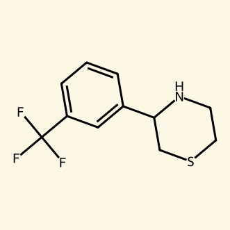 FC(F)(F)c1cccc(C2CSCCN2)c1